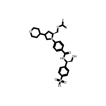 CCS(=O)(=O)c1ccc([C@H](CO)NC(=O)c2ccc(N3CC(C4CCOCC4)C[C@H]3COC(F)F)cc2)cc1